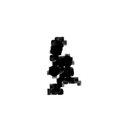 CS(=O)(=O)c1ccc(C(=O)NC(CC2CCCCC2)C(=O)N2C3CCC(C3)[C@H]2C(=O)NC(CCCCNC(=O)O)C(=O)C(N)=O)cc1